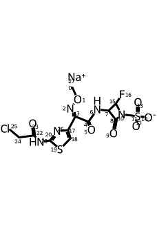 CON=C(C(=O)NC1C(=O)N(S(=O)(=O)[O-])C1F)c1csc(NC(=O)CCl)n1.[Na+]